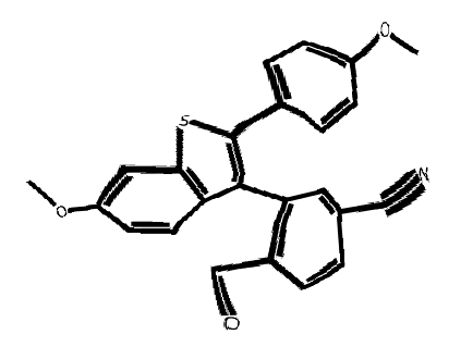 COc1ccc(-c2sc3cc(OC)ccc3c2-c2cc(C#N)ccc2C=O)cc1